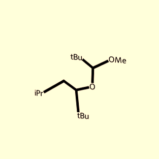 COC(OC(CC(C)C)C(C)(C)C)C(C)(C)C